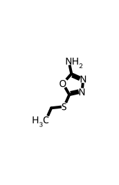 CCSc1nnc(N)o1